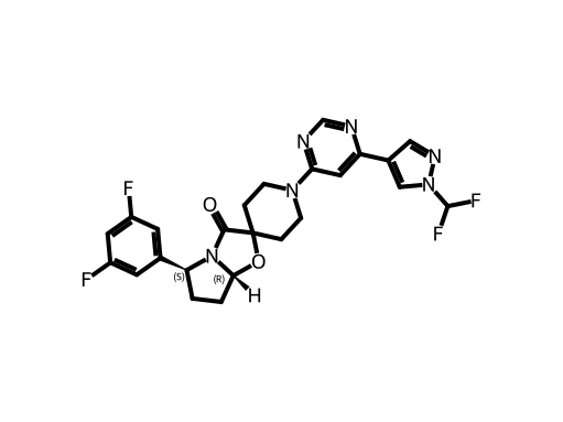 O=C1N2[C@@H](CC[C@H]2c2cc(F)cc(F)c2)OC12CCN(c1cc(-c3cnn(C(F)F)c3)ncn1)CC2